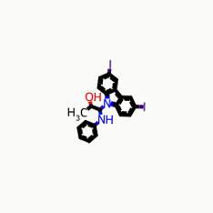 CC(O)C(Nc1ccccc1)n1c2ccc(I)cc2c2cc(I)ccc21